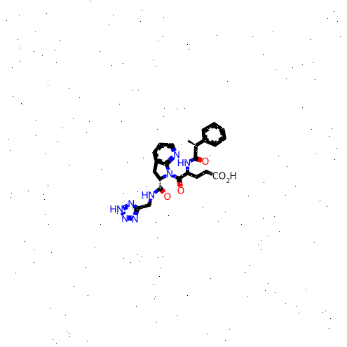 C[C@H](C(=O)NC(CCC(=O)O)C(=O)N1c2ncccc2C[C@H]1C(=O)NCc1nn[nH]n1)c1ccccc1